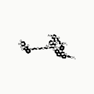 CC#C[C@]12CCC3[C@@H]4CCC5=CC(=O)CCC5=C4[C@@H](c4ccc(N(C)CCCC(=O)N5CCN(C(C)=O)CC5C(=O)N5CCN(C(C)=O)CC5C(=O)N(C)CCCOCCOCCOCCCNc5cccc6c5C(=O)N(C5CCC(=O)NC5=O)C6=O)cc4)C[C@@]31O2